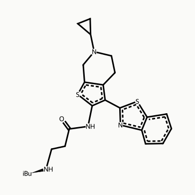 CC[C@H](C)NCCC(=O)Nc1sc2c(c1-c1nc3ccccc3s1)CCN(C1CC1)C2